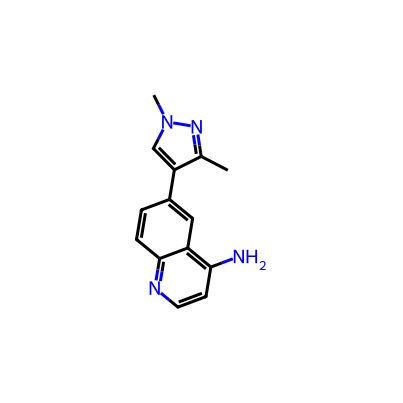 Cc1nn(C)cc1-c1ccc2nccc(N)c2c1